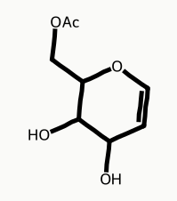 CC(=O)OCC1OC=CC(O)C1O